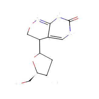 O=C1NC=C2C(=NOCC2C2C[C@H](O)[C@@H](CO)O2)N1